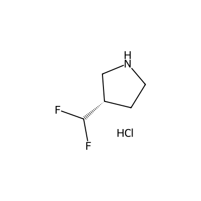 Cl.FC(F)[C@H]1CCNC1